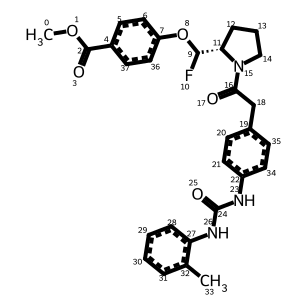 COC(=O)c1ccc(OC(F)[C@@H]2CCCN2C(=O)Cc2ccc(NC(=O)Nc3ccccc3C)cc2)cc1